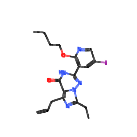 C=CCc1nc(CC)n2nc(-c3cc(I)cnc3OCCCC)[nH]c(=O)c12